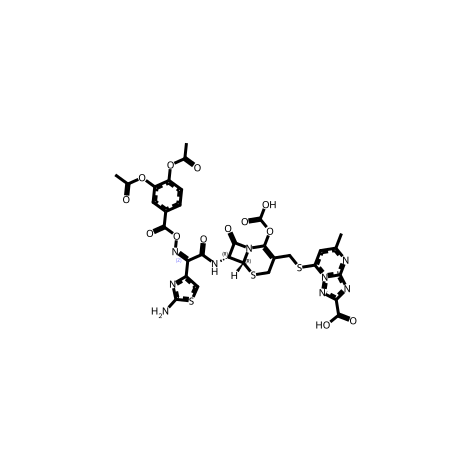 CC(=O)Oc1ccc(C(=O)O/N=C(\C(=O)N[C@@H]2C(=O)N3C(OC(=O)O)=C(CSc4cc(C)nc5nc(C(=O)O)nn45)CS[C@H]23)c2csc(N)n2)cc1OC(C)=O